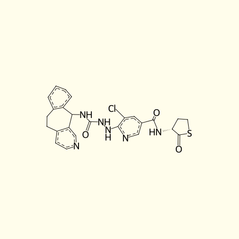 O=C(NNc1ncc(C(=O)N[C@@H]2CCSC2=O)cc1Cl)NC1c2ccccc2CCc2ccncc21